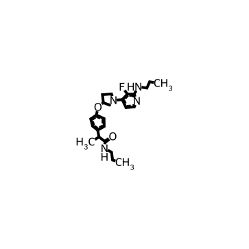 CCCNC(=O)C(C)c1ccc(OC2CCN(c3ccnc(NCCC)c3F)C2)cc1